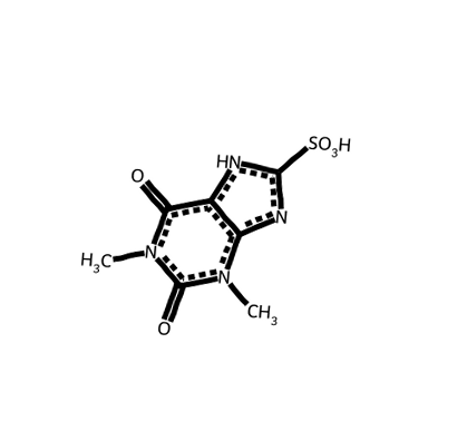 Cn1c(=O)c2[nH]c(S(=O)(=O)O)nc2n(C)c1=O